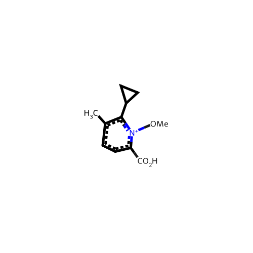 CO[n+]1c(C(=O)O)ccc(C)c1C1CC1